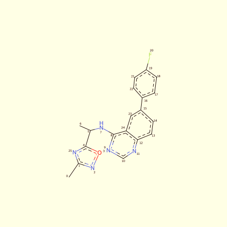 Cc1noc(C(C)Nc2ncnc3ccc(-c4ccc(F)cc4)cc23)n1